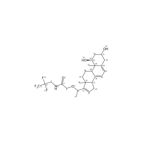 CC(OCC(=O)NCC(F)(F)C(F)(F)F)C1=CCC2C3=CC=C4CC(O)C[C@H](O)C4(C)C3CCC12C